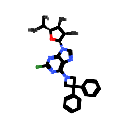 CC(=O)O[C@@H]1[C@H](OC(C)=O)[C@@H](C(C)C(=O)O)O[C@H]1n1cnc2c(N3CC(c4ccccc4)(c4ccccc4)C3)nc(Cl)nc21